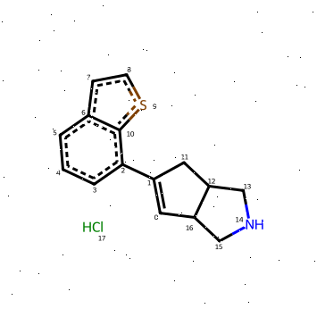 C1=C(c2cccc3ccsc23)CC2CNCC12.Cl